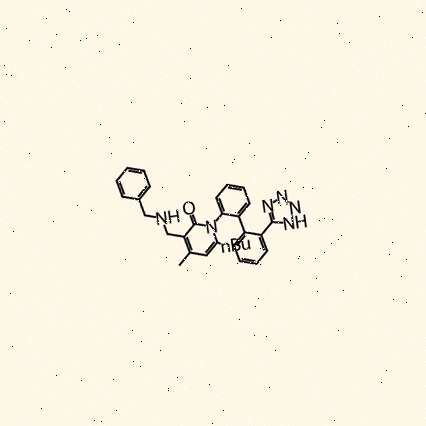 CCCCc1cc(C)c(CNCc2ccccc2)c(=O)n1-c1ccccc1-c1ccccc1-c1nnn[nH]1